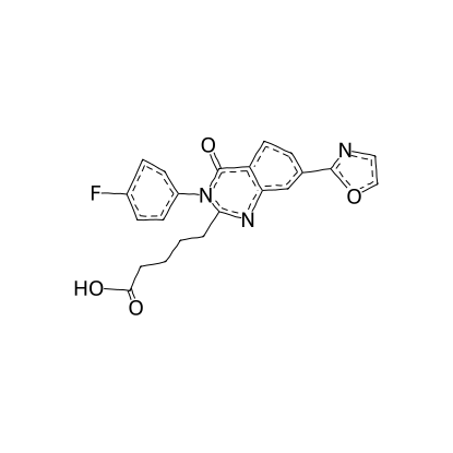 O=C(O)CCCCc1nc2cc(-c3ncco3)ccc2c(=O)n1-c1ccc(F)cc1